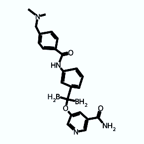 BC(B)(Oc1cncc(C(N)=O)c1)c1cccc(NC(=O)c2ccc(CN(C)C)cc2)c1